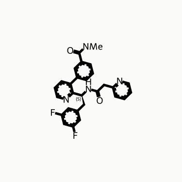 CNC(=O)c1cccc(-c2cccnc2[C@H](Cc2cc(F)cc(F)c2)NC(=O)Cc2ccccn2)c1